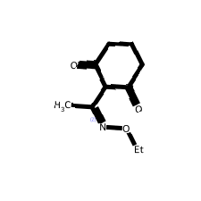 CCO/N=C(/C)C1C(=O)CCCC1=O